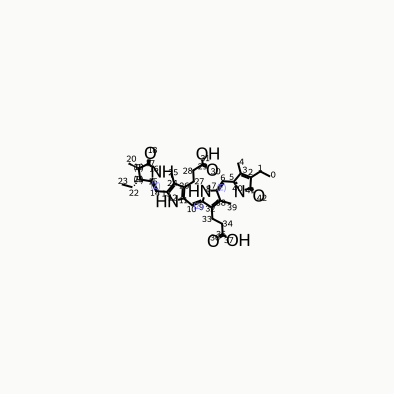 CCC1=C(C)C(/C=c2/[nH]/c(=C\c3[nH]c(/C=C4\NC(=O)[C@H](C)[C@H]4CC)c(C)c3CCC(=O)O)c(CCC(=O)O)c2C)=NC1=O